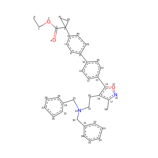 CCOC(=O)C1(c2ccc(-c3ccc(-c4onc(C)c4CCN(Cc4ccccc4)Cc4ccccc4)cc3)cc2)CC1